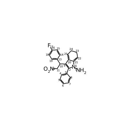 Nn1c(-c2ccccc2)c(C(C[N+](=O)[O-])c2ccc(F)cc2)c2c1=CCCC=2